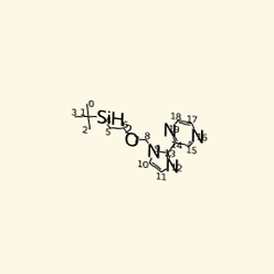 CC(C)(C)[SiH2]CCOCn1ccnc1-c1cnccn1